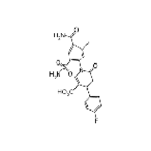 Cc1cc(N2C=C(C(=O)O)C(c3ccc(F)cc3)CC2=O)c(S(N)(=O)=O)cc1C(N)=O